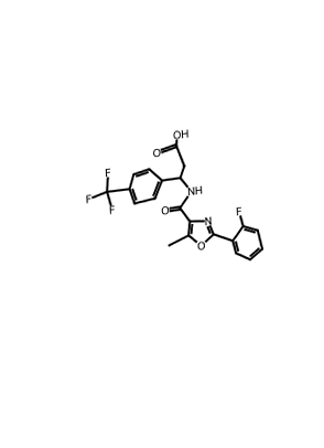 Cc1oc(-c2ccccc2F)nc1C(=O)NC(CC(=O)O)c1ccc(C(F)(F)F)cc1